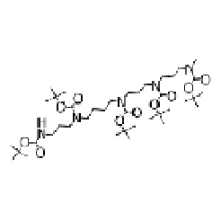 CN(CCCN(CCCN(CCCCN(CCCNC(=O)OC(C)(C)C)C(=O)OC(C)(C)C)C(=O)OC(C)(C)C)C(=O)OC(C)(C)C)C(=O)OC(C)(C)C